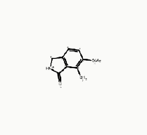 Bc1c(OC)ccc2c1C(=O)NC2